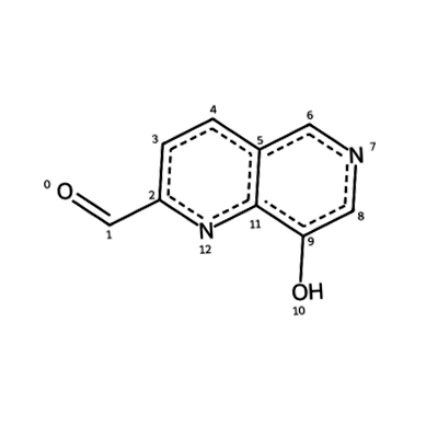 O=Cc1ccc2cncc(O)c2n1